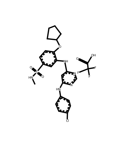 CNS(=O)(=O)c1ccc(OC2CCCC2)c(Nc2cc(Nc3ccc(Cl)cc3)ncn2)c1.O=C(O)C(F)(F)F